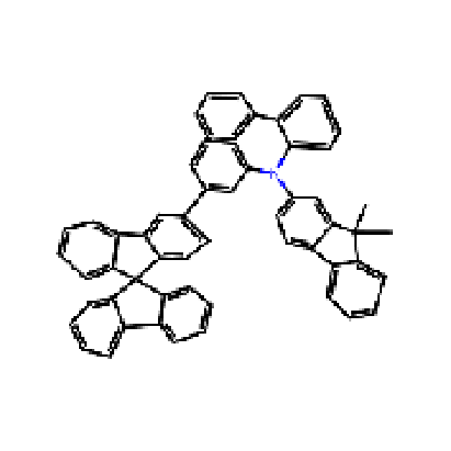 CC1(C)c2ccccc2-c2ccc(N(c3cccc(-c4ccc5c(c4)-c4ccccc4C54c5ccccc5-c5ccccc54)c3)c3ccccc3-c3ccccc3)cc21